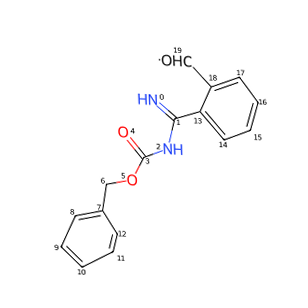 N=C(NC(=O)OCc1ccccc1)c1ccccc1[C]=O